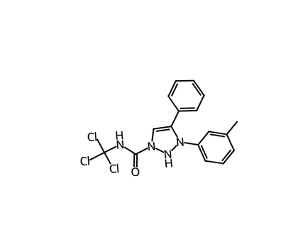 Cc1cccc(N2NN(C(=O)NC(Cl)(Cl)Cl)C=C2c2ccccc2)c1